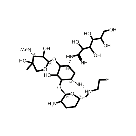 CN[C@@H]1C(O)[C@@H](OC2C(O)C(O[C@H]3O[C@H](CNCCF)CCC3N)[C@@H](N)C[C@H]2NC(=N)C(O)C(O)C(O)C(O)CO)OCC1(C)O